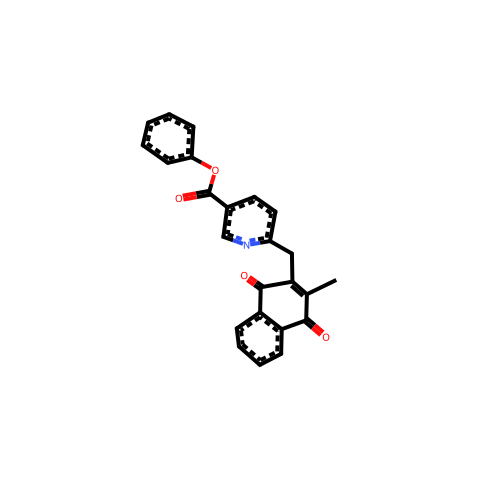 CC1=C(Cc2ccc(C(=O)Oc3ccccc3)cn2)C(=O)c2ccccc2C1=O